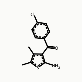 Cc1sc(N)c(C(=O)c2ccc(Cl)cc2)c1C